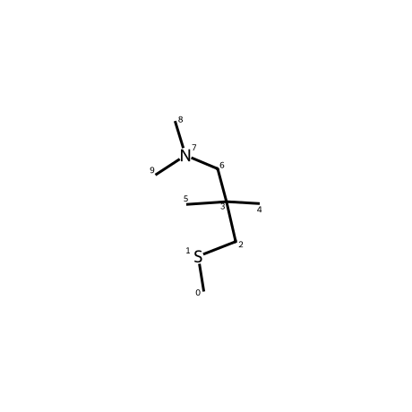 CSCC(C)(C)CN(C)C